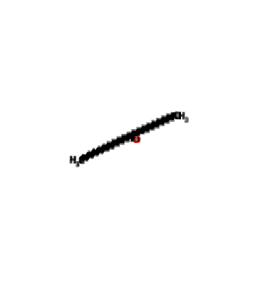 CCCCCCCCCCCCCCCCCCCC=C(C=O)CCCCCCCCCCCCCCCCCC